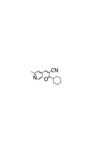 Cc1cc(C=C(C#N)C(=O)C2CCCCC2)ccn1